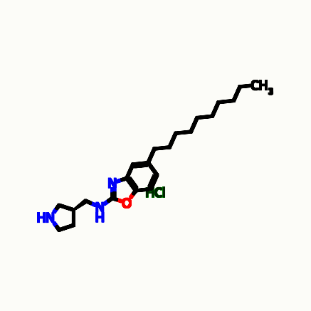 CCCCCCCCCCc1ccc2oc(NC[C@H]3CCNC3)nc2c1.Cl